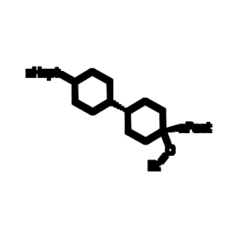 CCCCCCCC1CCC([C@H]2CC[C@@](CCCCC)(OCC)CC2)CC1